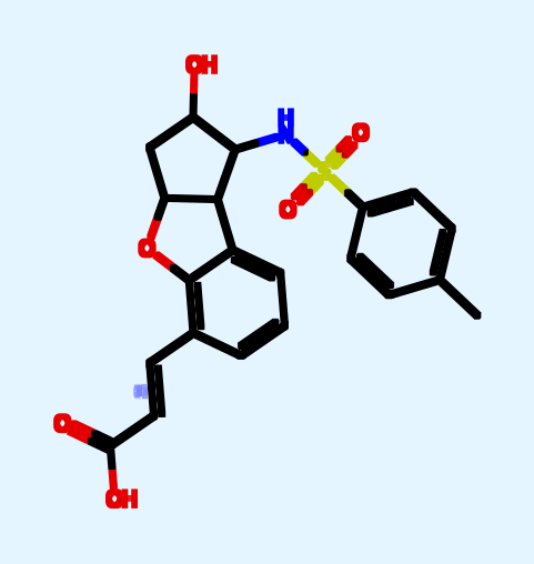 Cc1ccc(S(=O)(=O)NC2C(O)CC3Oc4c(/C=C/C(=O)O)cccc4C32)cc1